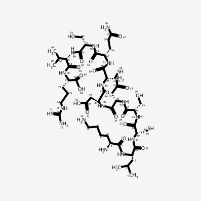 CC(C)C[C@H](NC(=O)[C@@H](N)CCCCN)C(=O)N[C@@H](CS)C(=O)N[C@@H](CO)C(=O)N[C@@H](CC(N)=O)C(=O)N[C@@H](CC(=O)O)C(=O)N[C@@H](CS)C(=O)N[C@@H](CCC(N)=O)C(=O)N[C@@H](CO)C(=O)N[C@H](C(=O)N[C@@H](CCCNC(=N)N)C(=O)O)C(C)C